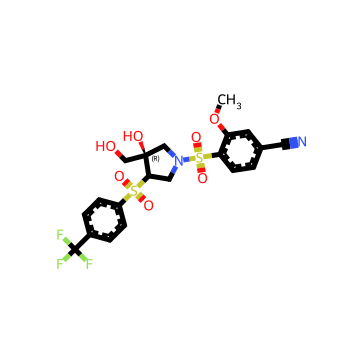 COc1cc(C#N)ccc1S(=O)(=O)N1CC(S(=O)(=O)c2ccc(C(F)(F)F)cc2)[C@](O)(CO)C1